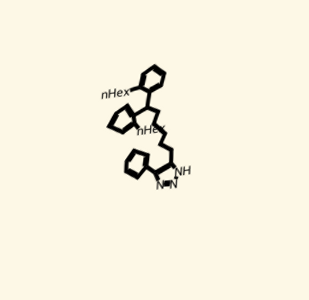 CCCCCCc1ccccc1C(CCCCCc1[nH]nnc1-c1ccccc1)c1ccccc1CCCCCC